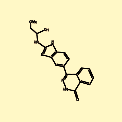 COCC(O)Nc1nc2cc(-c3n[nH]c(=O)c4ccccc34)ccc2[nH]1